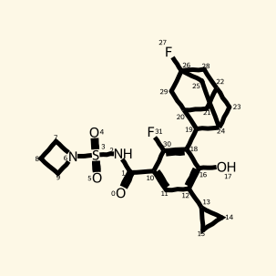 O=C(NS(=O)(=O)N1CCC1)c1cc(C2CC2)c(O)c(C2C3CC4CC2CC(F)(C4)C3)c1F